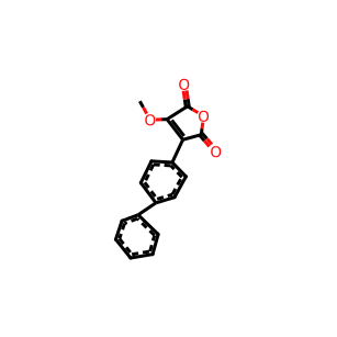 COC1=C(c2ccc(-c3ccccc3)cc2)C(=O)OC1=O